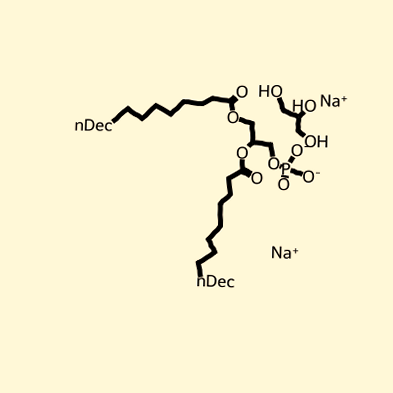 CCCCCCCCCCCCCCCCCC(=O)OCC(COP(=O)([O-])[O-])OC(=O)CCCCCCCCCCCCCCCCC.OCC(O)CO.[Na+].[Na+]